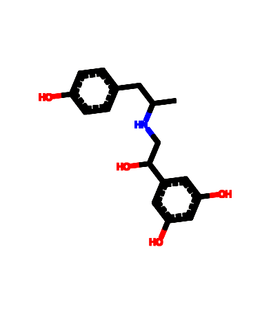 CC(Cc1ccc(O)cc1)NCC(O)c1cc(O)cc(O)c1